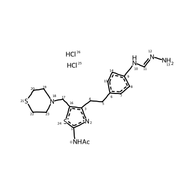 CC(=O)Nc1nc(CCc2ccc(NC=NN)cc2)c(CN2CCSCC2)s1.Cl.Cl